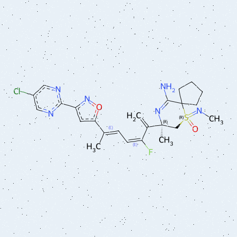 C=C(/C(F)=C\C=C(/C)c1cc(-c2ncc(Cl)cn2)no1)[C@]1(C)C[S@](=O)(=NC)C2(CCCC2)C(N)=N1